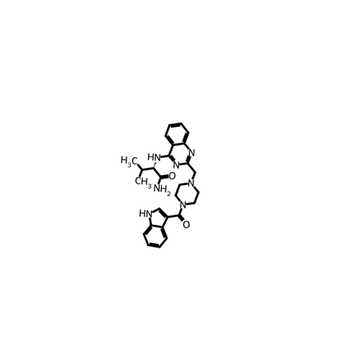 CC(C)[C@H](Nc1nc(CN2CCN(C(=O)c3c[nH]c4ccccc34)CC2)nc2ccccc12)C(N)=O